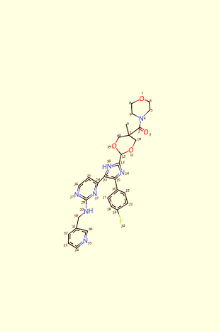 CC1(C(=O)N2CCOCC2)COC(c2nc(-c3ccc(F)cc3)c(-c3ccnc(NCc4cccnc4)n3)[nH]2)OC1